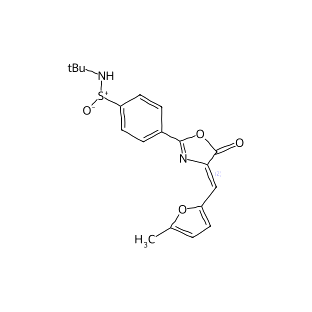 Cc1ccc(/C=C2\N=C(c3ccc([S+]([O-])NC(C)(C)C)cc3)OC2=O)o1